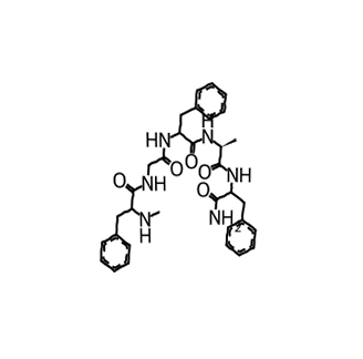 CNC(Cc1ccccc1)C(=O)NCC(=O)NC(Cc1ccccc1)C(=O)N[C@@H](C)C(=O)NC(Cc1ccccc1)C(N)=O